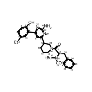 CCc1ccc(O)c(-c2cc(C3CCCN(C(=O)[C@@H](Cc4ccccc4)N(C(=O)O)C(C)(C)C)C3)nc(N)n2)c1